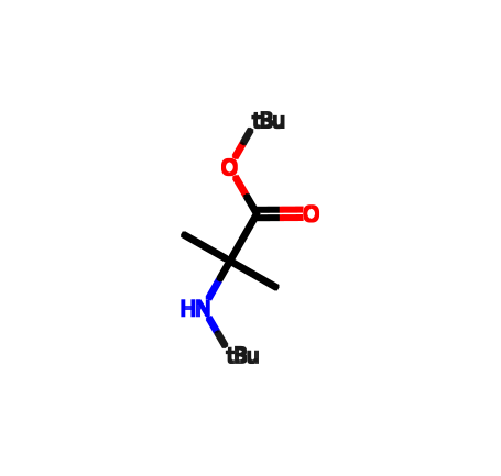 CC(C)(C)NC(C)(C)C(=O)OC(C)(C)C